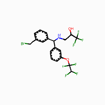 OC(CNC(c1cccc(CBr)c1)c1cccc(OC(F)(F)C(F)F)c1)C(F)(F)F